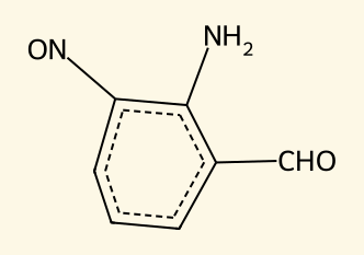 Nc1c(C=O)cccc1N=O